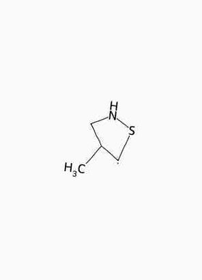 CC1[CH]SNC1